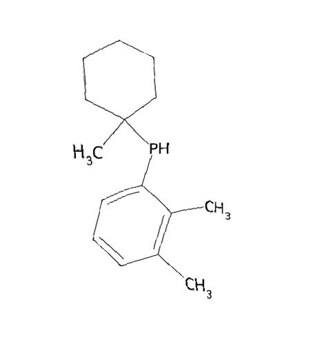 Cc1cccc(PC2(C)CCCCC2)c1C